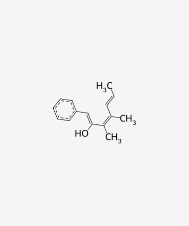 CC=CC(C)=C(C)C(O)=Cc1ccccc1